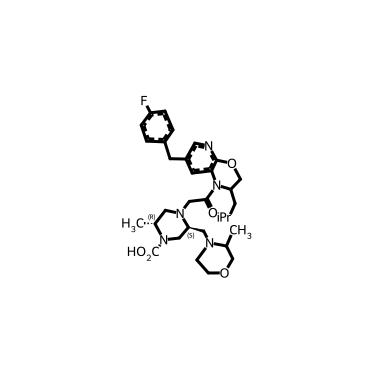 CC(C)CC1COc2ncc(Cc3ccc(F)cc3)cc2N1C(=O)CN1C[C@@H](C)N(C(=O)O)C[C@@H]1CN1CCOCC1C